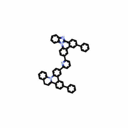 C1=C2c3ccc(-c4ccccc4)cc3-c3cc(-c4cccc(-c5ccc6c(c5)c5cc(-c7ccccc7)ccc5c5nc7ccccc7n65)n4)ccc3N2c2ccccc2C1